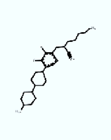 C#CC(CCCCC)Cc1ccc(C2CCC(C3CCC(C)CC3)CC2)c(F)c1F